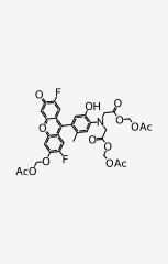 CC(=O)OCOC(=O)CN(CC(=O)OCOC(C)=O)c1cc(C)c(-c2c3cc(F)c(=O)cc-3oc3cc(OCOC(C)=O)c(F)cc23)cc1O